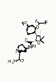 C[C@H]1[C@H](c2ccc(F)cc2OC(F)F)[C@@H](C(=O)Nc2ccnc(C(N)=O)c2)OC1(C)C